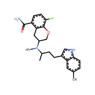 CCCN(C(C)CCc1c[nH]c2ccc(C#N)cc12)C1COc2c(F)ccc(C(N)=O)c2C1